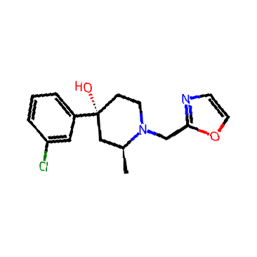 C[C@H]1C[C@@](O)(c2cccc(Cl)c2)CCN1Cc1ncco1